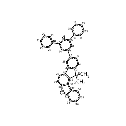 CC1(C)c2ccc(-c3cc(-c4ccccc4)nc(-c4ccccc4)c3)cc2-c2ccc3oc4ccccc4c3c21